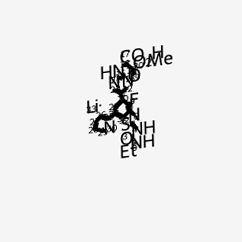 CCNC(=O)Nc1nc2c(F)c(-c3cnc(NC(C(=O)O)C(=O)OC)nc3)cc(-c3ccccn3)c2s1.[Li]